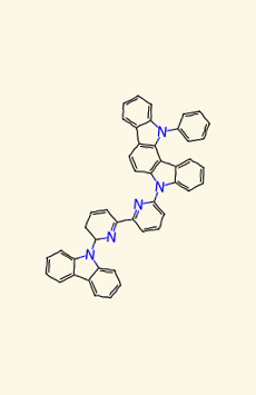 C1=CC(c2cccc(-n3c4ccccc4c4c3ccc3c5ccccc5n(-c5ccccc5)c34)n2)=NC(n2c3ccccc3c3ccccc32)C1